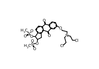 CS(=O)(=O)OC1Cc2c(ccc3c2C(=O)c2cc(OCCN(CCCl)CCCl)ccc2C3=O)C1OS(C)(=O)=O